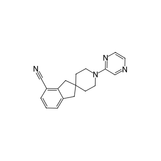 N#Cc1cccc2c1CC1(CCN(c3cnccn3)CC1)C2